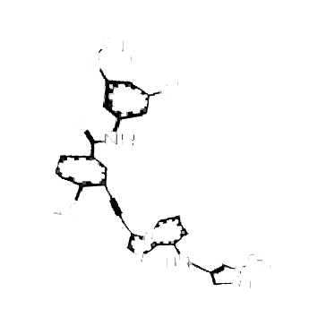 COc1cc(O)cc(NC(=O)c2ccc(C)c(C#Cc3cnc4c(NC5=CN(C)NC5)cccn34)c2)c1